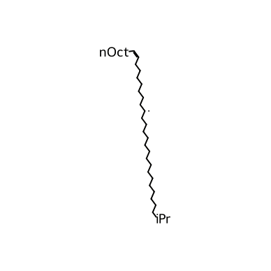 CCCCCCCC/C=C\CCCCCCC[CH]CCCCCCCCCCCCCCCC(C)C